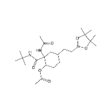 CC(=O)NC1(C(=O)NC(C)(C)C)CC(CCB2OC(C)(C)C(C)(C)O2)CCC1OC(C)=O